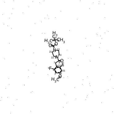 COc1cc(F)c(CC(=O)N2CCN(C(=O)OC(C)(C)C)CC2)c(F)c1